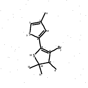 Cc1csc(C2=C(Br)C(C)C(C)(C)S2)c1